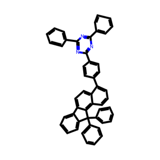 c1ccc(-c2nc(-c3ccccc3)nc(-c3ccc(-c4cccc5c6c(ccc45)-c4ccccc4C6(c4ccccc4)c4ccccc4)cc3)n2)cc1